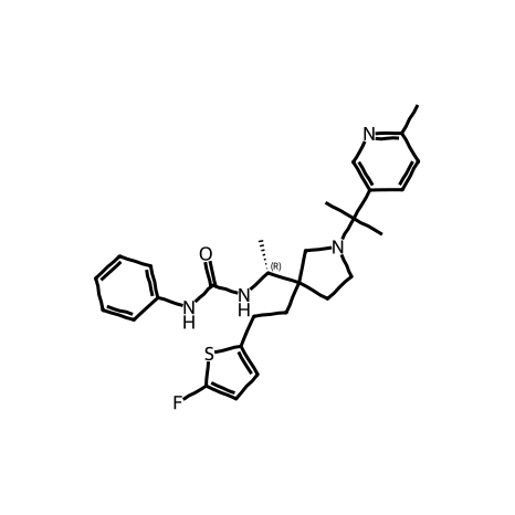 Cc1ccc(C(C)(C)N2CCC(CCc3ccc(F)s3)([C@@H](C)NC(=O)Nc3ccccc3)C2)cn1